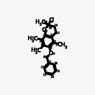 Cc1c(C)c2c(c(C)c1OCc1ccccc1)CCC(C)(Cl)O2